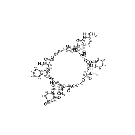 C=C1C=CN([C@@H]2O[C@@H]3CO[P@](=O)(Oc4ccccc4)N[C@@H](C)C(=O)OCCCC(=O)O[C@@H]4[C@@H](CO[P@](=O)(Oc5ccccc5)N[C@@H](C)C(=O)OCCCC(=O)O[C@H]3[C@@]2(C)F)O[C@@H](n2ccc(=O)[nH]c2=O)[C@]4(C)F)C(=O)N1